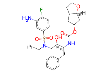 CC(C)CN(C[C@@H](O)[C@H](Cc1ccccc1)NC(=O)OC1CC2CCO[C@@H]2C1)S(=O)(=O)c1ccc(F)c(N)c1